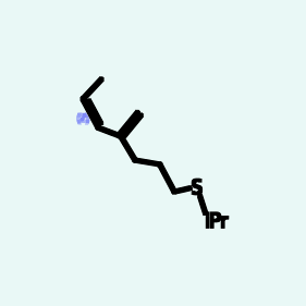 C=C(/C=C\C)CCCSC(C)C